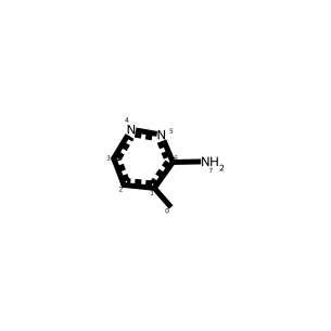 Cc1ccnnc1N